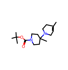 CC1=CCN(C2(C)CCN(C(=O)OC(C)(C)C)CC2)CC1